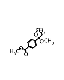 COC(=O)c1ccc(C(C=O)(OC)OC)cc1